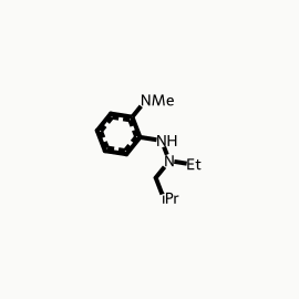 CCN(CC(C)C)Nc1ccccc1NC